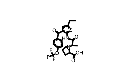 CCc1cc(C(=O)c2ccc(OC(F)(F)F)cc2)c(NC(=O)C(C)N2CCCC2C(=O)O)s1